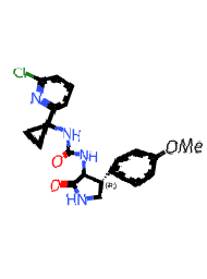 COc1ccc([C@@H]2CNC(=O)C2NC(=O)NC2(c3cccc(Cl)n3)CC2)cc1